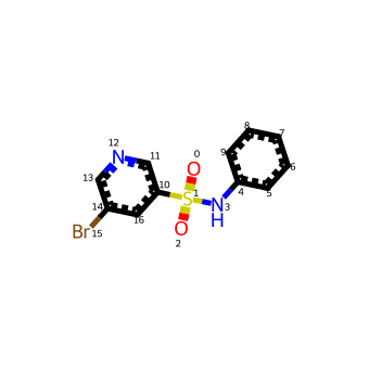 O=S(=O)(Nc1ccccc1)c1cncc(Br)c1